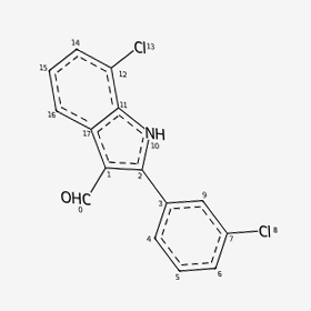 O=Cc1c(-c2cccc(Cl)c2)[nH]c2c(Cl)cccc12